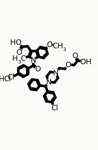 COc1ccc2c(c1)c(CC(=O)O)c(C)n2C(=O)c1ccc(Cl)cc1.Cl.O=C(O)COCCN1CCN(C(c2ccccc2)c2ccc(Cl)cc2)CC1